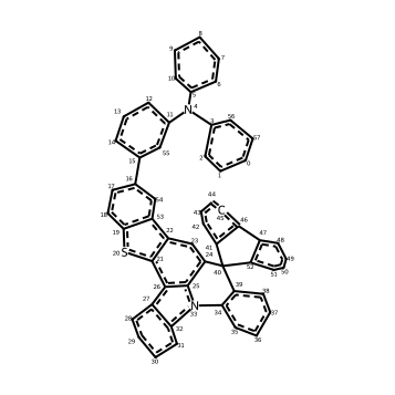 c1ccc(N(c2ccccc2)c2cccc(-c3ccc4sc5c(cc6c7c5c5ccccc5n7-c5ccccc5C65c6ccccc6-c6ccccc65)c4c3)c2)cc1